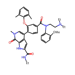 CCNC(=O)c1cc2c(-c3ccc(C(=O)N(CCN(CC)CC)c4ccccc4OC)cc3Oc3c(C)cccc3C)cn(C)c(=O)c2[nH]1